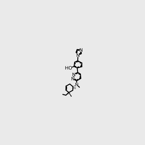 CC[C@]1(C)C=CC[C@H](N(C)c2ccc(-c3ccc(-n4ccnc4)cc3O)nn2)C1